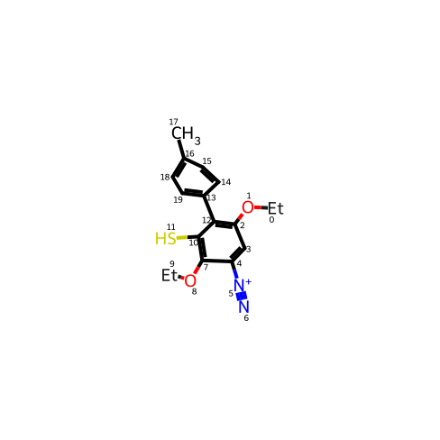 CCOc1cc([N+]#N)c(OCC)c(S)c1-c1ccc(C)cc1